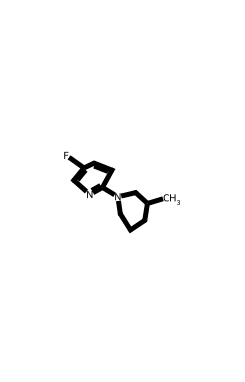 CC1CCCN(c2ccc(F)cn2)C1